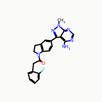 Cn1nc(-c2ccc3c(c2)CCN3C(=O)Cc2ccccc2F)c2c(N)ncnc21